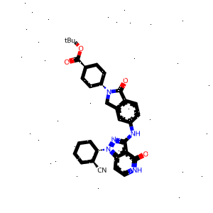 CC(C)(C)OC(=O)[C@H]1CC[C@H](N2Cc3cc(Nc4nn([C@H]5CCCC[C@@H]5C#N)c5cc[nH]c(=O)c45)ccc3C2=O)CC1